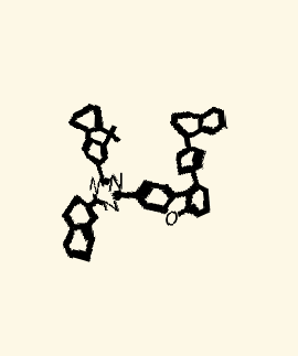 CC1(C)c2ccccc2-c2ccc(-c3nc(-c4ccc5ccccc5c4)nc(-c4ccc5c(c4)oc4cccc(-c6ccc(-c7cccc8ccccc78)cc6)c45)n3)cc21